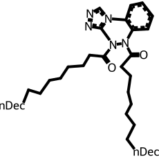 CCCCCCCCCCCCCCCCCC(=O)N1c2ccccc2-n2cnnc2N1C(=O)CCCCCCCCCCCCCCCCC